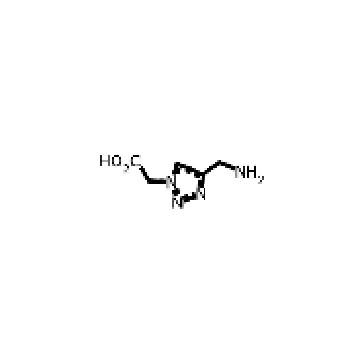 NCc1cn(CC(=O)O)nn1